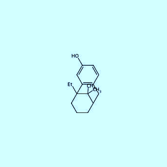 CCC12CCCC(Cc3ccc(O)cc31)C2(C)C